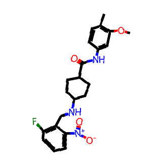 COc1cc(NC(=O)C2CCC(NCc3c(F)cccc3[N+](=O)[O-])CC2)ccc1C